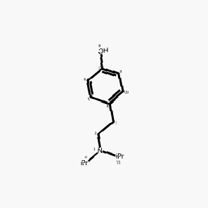 CC(C)N(CCc1ccc(O)cc1)C(C)C